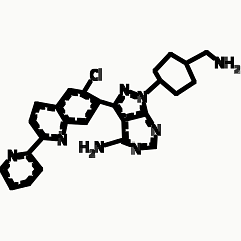 NCC1CCC(n2nc(-c3cc4nc(-c5ccccn5)ccc4cc3Cl)c3c(N)ncnc32)CC1